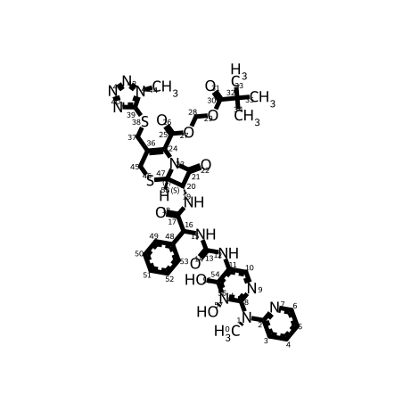 CN(c1ccccn1)c1ncc(NC(=O)NC(C(=O)N[C@H]2C(=O)N3C(C(=O)OCOC(=O)C(C)(C)C)=C(CSc4nnnn4C)CS[C@@H]23)c2ccccc2)c(O)[n+]1O